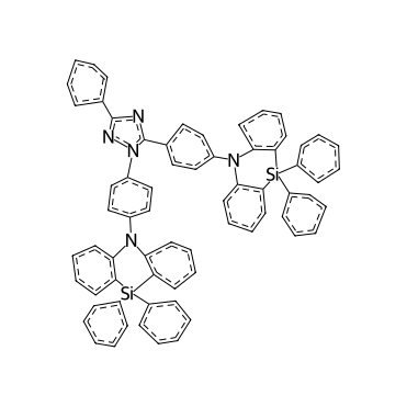 c1ccc(-c2nc(-c3ccc(N4c5ccccc5[Si](c5ccccc5)(c5ccccc5)c5ccccc54)cc3)n(-c3ccc(N4c5ccccc5[Si](c5ccccc5)(c5ccccc5)c5ccccc54)cc3)n2)cc1